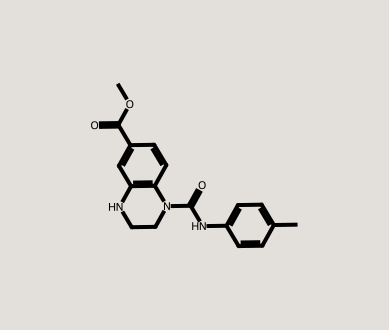 COC(=O)c1ccc2c(c1)NCCN2C(=O)Nc1ccc(C)cc1